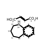 O=C(O)C=CC(=O)O.c1ccc2c(c1)CCCCN2